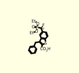 CCOP(=O)(OCC)[C@@H](F)c1ccc2sc(C(=O)O)c(Cc3ccccc3)c2c1